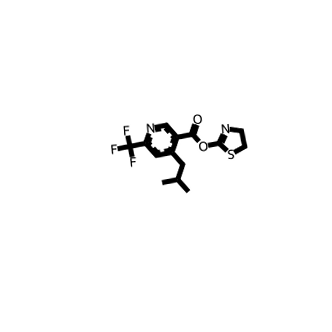 CC(C)Cc1cc(C(F)(F)F)ncc1C(=O)OC1=NCCS1